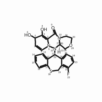 O=C1C2=C(O)C(O)C=CN2N([C@@H]2c3ccccc3SCc3c(F)cccc32)[C@@H]2COCCN12